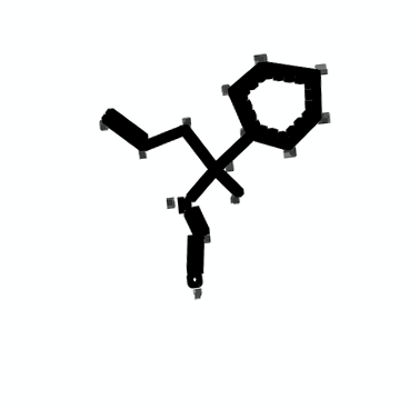 C=CCC(C)(N=C=O)c1ccccc1